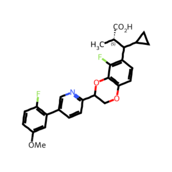 COc1ccc(F)c(-c2ccc(C3COc4ccc(C(C5CC5)[C@H](C)C(=O)O)c(F)c4O3)nc2)c1